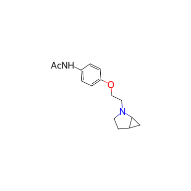 CC(=O)Nc1ccc(OCCN2CCC3CC32)cc1